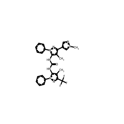 Cc1c(-c2cnn(C)c2)nn(-c2ccccc2)c1NC(=O)Nc1c(C)c(C(F)(F)F)nn1-c1ccccc1